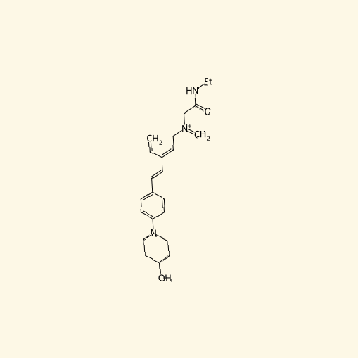 C=CC(/C=C/c1ccc(N2CCC(O)CC2)cc1)=C\C[N+](=C)CC(=O)NCC